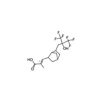 C/C(=C\C1CC2CC(CC(O)(C(F)(F)F)C(F)(F)F)C1C2)C(=O)O